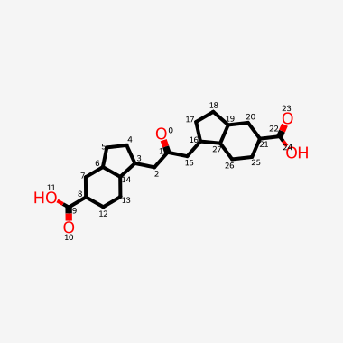 O=C(CC1CCC2CC(C(=O)O)CCC12)CC1CCC2CC(C(=O)O)CCC12